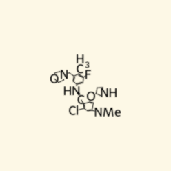 CNc1cc(Cl)c(CCNc2cc(F)c(C)c(CN3CCOCC3)c2)c(OC2CCNC2)c1